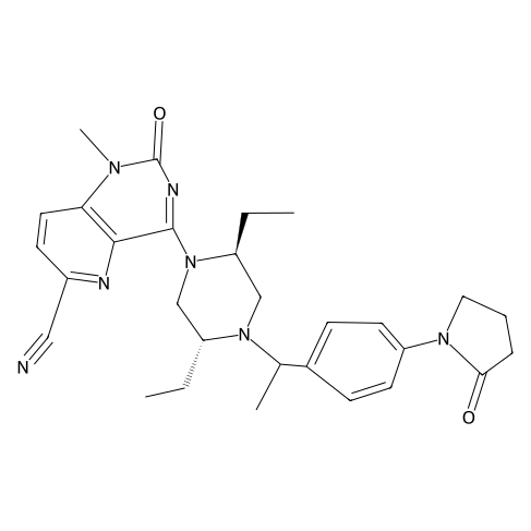 CC[C@H]1CN(C(C)c2ccc(N3CCCC3=O)cc2)[C@H](CC)CN1c1nc(=O)n(C)c2ccc(C#N)nc12